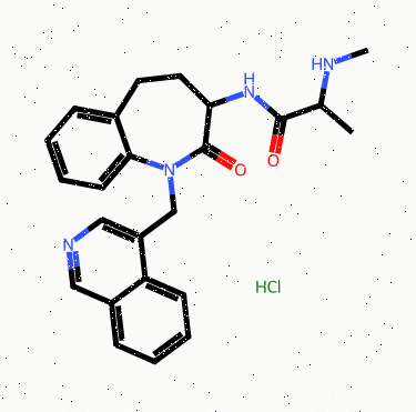 CNC(C)C(=O)NC1CCc2ccccc2N(Cc2cncc3ccccc23)C1=O.Cl